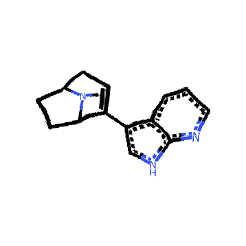 CN1C2CC=C(c3c[nH]c4ncccc34)C1CC2